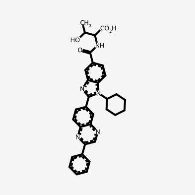 CC(O)C(NC(=O)c1ccc2c(c1)nc(-c1ccc3nc(-c4ccccc4)cnc3c1)n2C1CCCCC1)C(=O)O